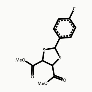 COC(=O)C1SC(c2ccc(Cl)cc2)SC1C(=O)OC